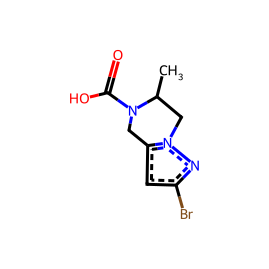 CC1Cn2nc(Br)cc2CN1C(=O)O